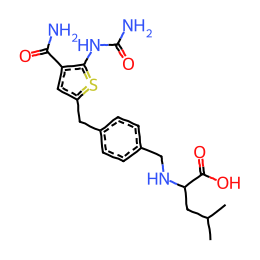 CC(C)CC(NCc1ccc(Cc2cc(C(N)=O)c(NC(N)=O)s2)cc1)C(=O)O